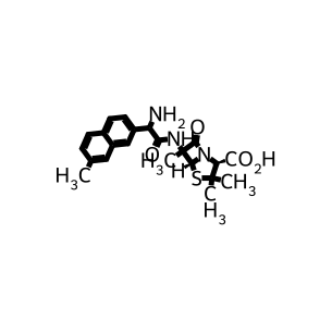 Cc1ccc2ccc(C(N)C(=O)NC3(C)C(=O)N4[C@@H](C(=O)O)C(C)(C)S[C@@H]43)cc2c1